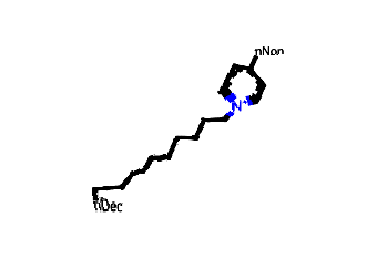 CCCCCCCCCCCCCCCCCCCC[n+]1ccc(CCCCCCCCC)cc1